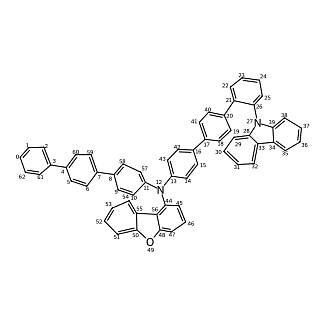 c1ccc(-c2ccc(-c3ccc(N(c4ccc(-c5ccc(-c6ccccc6-n6c7ccccc7c7ccccc76)cc5)cc4)c4cccc5oc6ccccc6c45)cc3)cc2)cc1